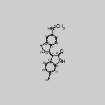 CNc1ccc2c(c1)CO/C2=C1/C(=O)Nc2cc(F)ccc21